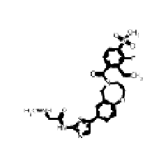 CCc1c(C(=O)N2CCOc3ccc(-c4cnc(NC(=O)CNC)s4)cc3C2)ccc(S(C)(=O)=O)c1F